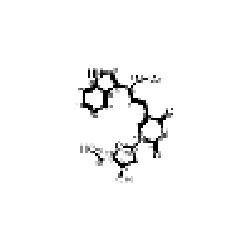 CC(=O)N[C@@H](C=Cc1cn([C@H]2C[C@H](O)[C@@H](CO)O2)c(=O)[nH]c1=O)c1c[nH]c2ccccc12